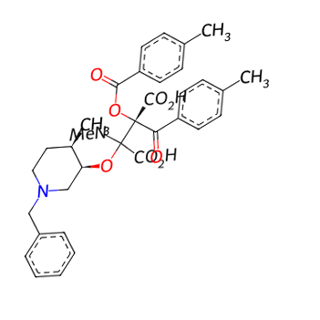 CNC(O[C@H]1CN(Cc2ccccc2)CC[C@H]1C)(C(=O)O)[C@@](OC(=O)c1ccc(C)cc1)(C(=O)O)C(=O)c1ccc(C)cc1